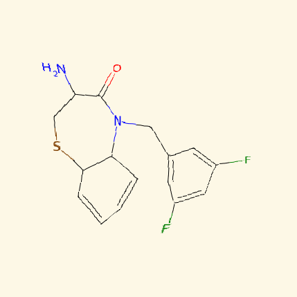 NC1CSC2C=CC=CC2N(Cc2cc(F)cc(F)c2)C1=O